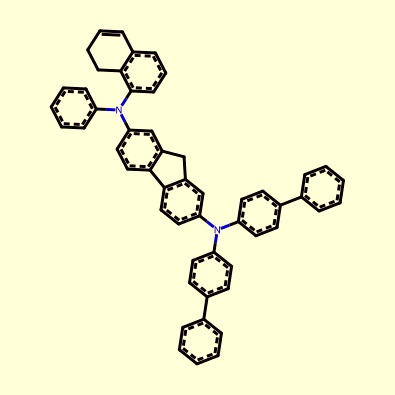 C1=Cc2cccc(N(c3ccccc3)c3ccc4c(c3)Cc3cc(N(c5ccc(-c6ccccc6)cc5)c5ccc(-c6ccccc6)cc5)ccc3-4)c2CC1